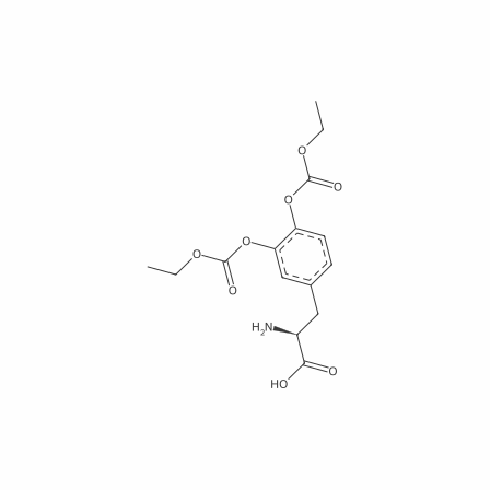 CCOC(=O)Oc1ccc(C[C@H](N)C(=O)O)cc1OC(=O)OCC